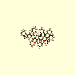 c1ccc(-c2cccc(-c3ccccc3)c2N2c3cc4c(cc3B3c5ccccc5N(c5ccccc5)c5c3c2cc2oc3ccccc3c52)B2c3ccccc3Oc3c2c(cc2oc5ccccc5c32)N4c2ccccc2)cc1